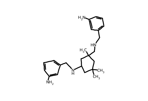 CC1(C)CC(NCc2cccc(N)c2)CC(C)(CNCc2cccc(N)c2)C1